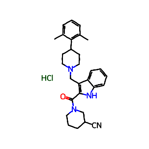 Cc1cccc(C)c1C1CCN(Cc2c(C(=O)N3CCCC(C#N)C3)[nH]c3ccccc23)CC1.Cl